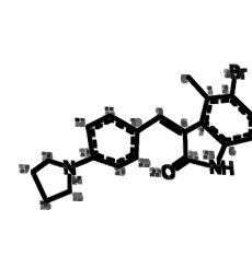 Cc1c(Br)ccc2c1C(=Cc1ccc(N3CCCC3)cc1)C(=O)N2